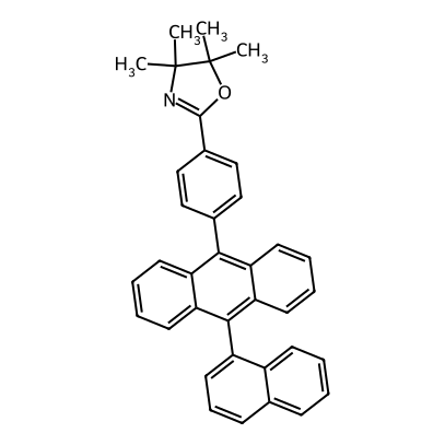 CC1(C)N=C(c2ccc(-c3c4ccccc4c(-c4cccc5ccccc45)c4ccccc34)cc2)OC1(C)C